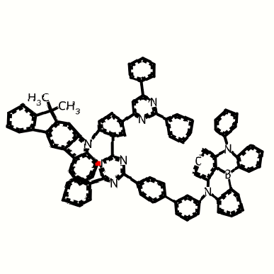 CC1(C)c2ccccc2-c2cc3c4ccccc4n(-c4ccc(-c5cc(-c6ccccc6)nc(-c6ccccc6)n5)cc4-c4nc(-c5ccccc5)nc(-c5ccc(-c6cccc(N7c8ccccc8B8c9ccccc9N(c9ccccc9)c9cccc7c98)c6)cc5)n4)c3cc21